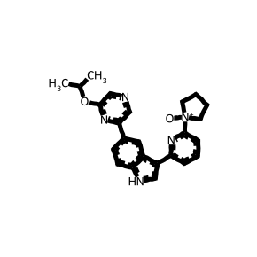 CC(C)Oc1cncc(-c2ccc3[nH]cc(-c4cccc([N+]5([O-])CCCC5)n4)c3c2)n1